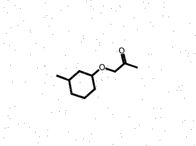 CC(=O)COC1CCCC(C)C1